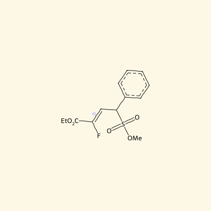 CCOC(=O)/C(F)=C/C(c1ccccc1)S(=O)(=O)OC